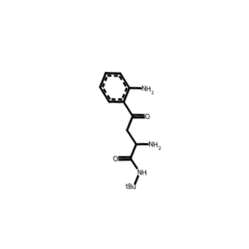 CC(C)(C)NC(=O)C(N)CC(=O)c1ccccc1N